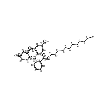 CCCCCCCCCCCCOC(=O)c1ccccc1-c1c2ccc(=O)cc-2oc2cc(O)ccc12